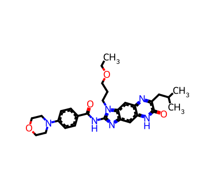 CCOCCCn1c(NC(=O)c2ccc(N3CCOCC3)cc2)nc2cc3[nH]c(=O)c(CC(C)C)nc3cc21